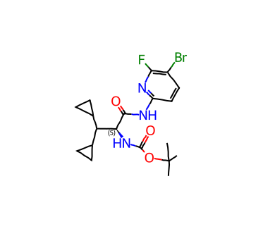 CC(C)(C)OC(=O)N[C@H](C(=O)Nc1ccc(Br)c(F)n1)C(C1CC1)C1CC1